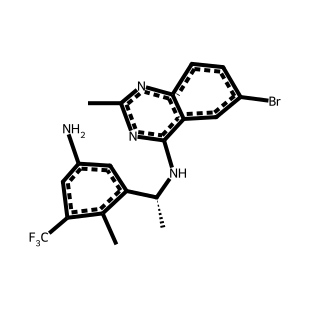 Cc1nc(N[C@H](C)c2cc(N)cc(C(F)(F)F)c2C)c2cc(Br)ccc2n1